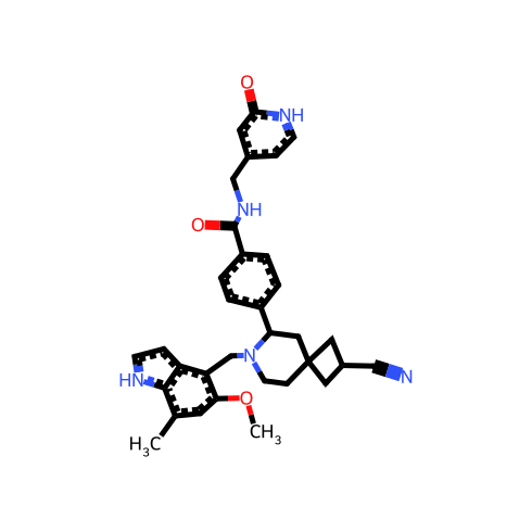 COc1cc(C)c2[nH]ccc2c1CN1CCC2(CC(C#N)C2)CC1c1ccc(C(=O)NCc2cc[nH]c(=O)c2)cc1